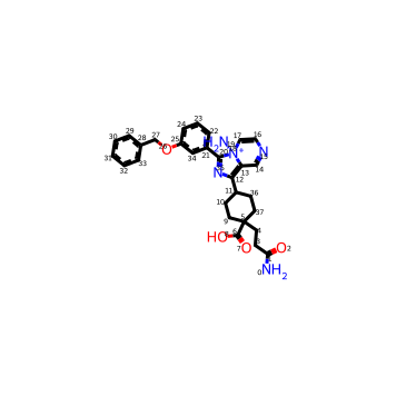 NC(=O)CCC1(C(=O)O)CCC(C2=C3C=NC=C[N+]3(N)C(c3cccc(OCc4ccccc4)c3)=N2)CC1